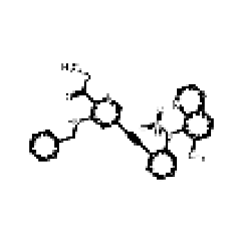 COC(=O)c1ncc(C#Cc2ccccc2N(c2c(C)ccc3cccnc23)[SH](=O)=O)cc1NCc1ccccc1